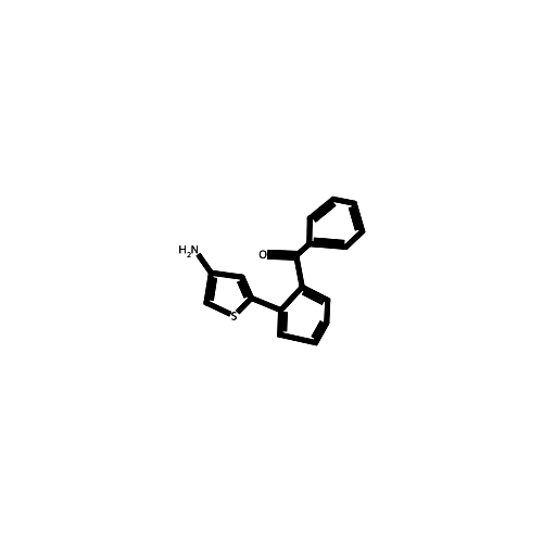 Nc1csc(-c2ccccc2C(=O)c2ccccc2)c1